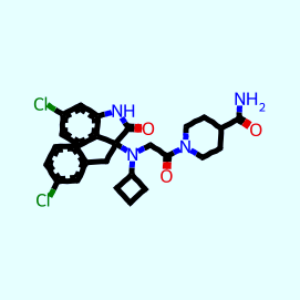 NC(=O)C1CCN(C(=O)CN(C2CCC2)C2(Cc3cccc(Cl)c3)C(=O)Nc3cc(Cl)ccc32)CC1